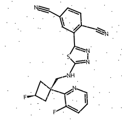 N#Cc1ccc(C#N)c(-c2nnc(NC[C@]3(c4ncccc4F)C[C@H](F)C3)s2)c1